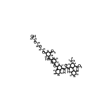 CONc1cc(C(C)(C)C)cc(NC(=O)Nc2ccc(Oc3ccnc(Nc4cc(OC)cc(OCCOCCOCCO)c4)n3)c3ccccc23)c1-c1ccccc1